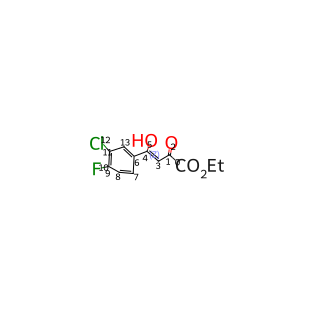 CCOC(=O)C(=O)/C=C(\O)c1ccc(F)c(Cl)c1